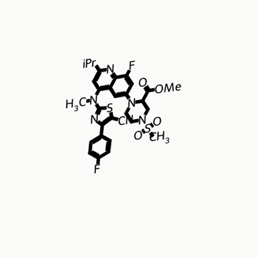 COC(=O)C1CN(S(C)(=O)=O)CCN1c1cc(F)c2nc(C(C)C)cc(N(C)c3nc(-c4ccc(F)cc4)c(C#N)s3)c2c1